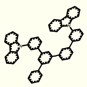 c1ccc(-c2cc(-c3cccc(-c4cccc(-n5c6ccccc6c6ccccc65)c4)c3)cc(-c3cccc(-n4c5ccccc5c5ccccc54)c3)c2)cc1